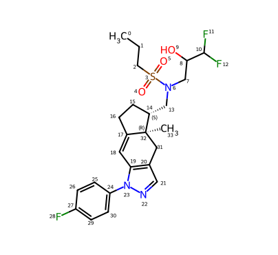 CCCS(=O)(=O)N(CC(O)C(F)F)C[C@H]1CCC2=Cc3c(cnn3-c3ccc(F)cc3)C[C@@]21C